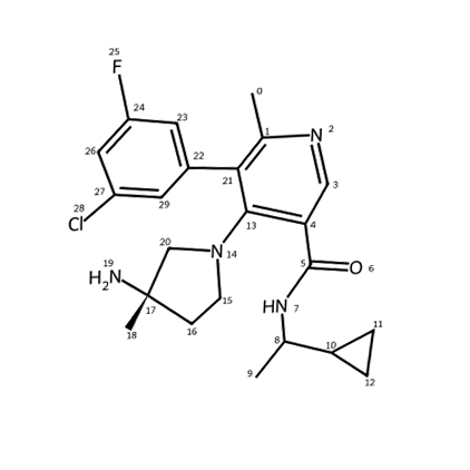 Cc1ncc(C(=O)NC(C)C2CC2)c(N2CC[C@](C)(N)C2)c1-c1cc(F)cc(Cl)c1